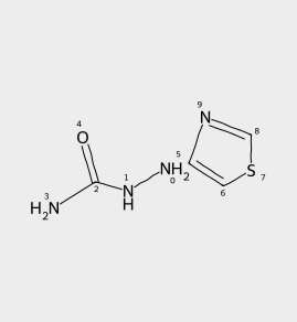 NNC(N)=O.c1cscn1